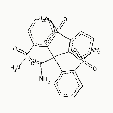 NC(=O)C(c1ccccc1S(N)(=O)=O)(c1ccccc1S(N)(=O)=O)c1ccccc1S(N)(=O)=O